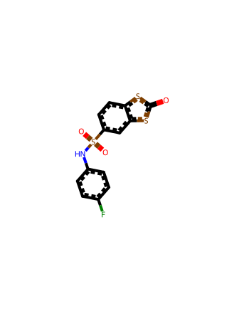 O=c1sc2ccc(S(=O)(=O)Nc3ccc(F)cc3)cc2s1